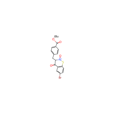 CC(C)(C)OC(=O)c1ccc(CC2C(=O)c3cc(Br)ccc3S[N+]2=O)cc1